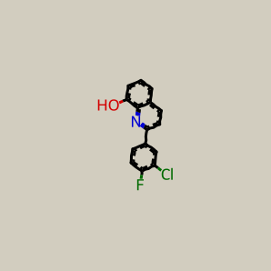 Oc1cccc2ccc(-c3ccc(F)c(Cl)c3)nc12